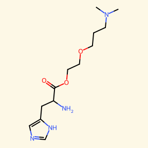 CN(C)CCCOCCOC(=O)C(N)Cc1cnc[nH]1